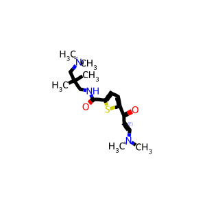 CN(C)/C=C/C(=O)c1ccc(C(=O)NCC(C)(C)CN(C)C)s1